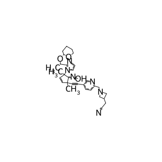 C[C@H](OC1CCCCO1)c1nccn1C1(C)C=CC(C)(C#Cc2ccc(CN3CC(CC#N)C3)nc2)/C1=N\O